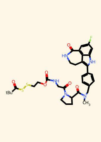 CN(Cc1ccc(-c2[nH]c3cc(F)cc4c3c2CCNC4=O)cc1)C(=O)C1CCCN1C(=O)CNC(=O)OCCSSC(=O)C(C)(C)C